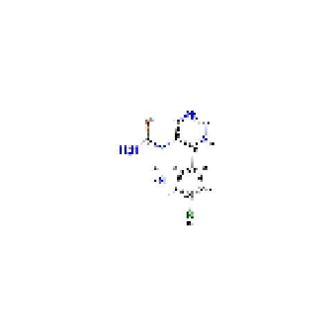 N#CN(C(N)=S)c1cncnc1-c1ccc(Br)cc1